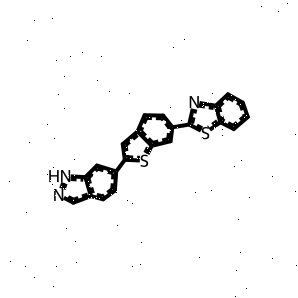 c1ccc2sc(-c3ccc4cc(-c5ccc6cn[nH]c6c5)sc4c3)nc2c1